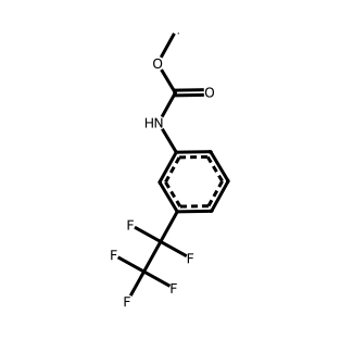 [CH2]OC(=O)Nc1cccc(C(F)(F)C(F)(F)F)c1